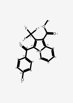 COC(=O)c1c(C(F)(F)F)c(C(=O)c2ccc(Cl)cc2)n2ccccc12